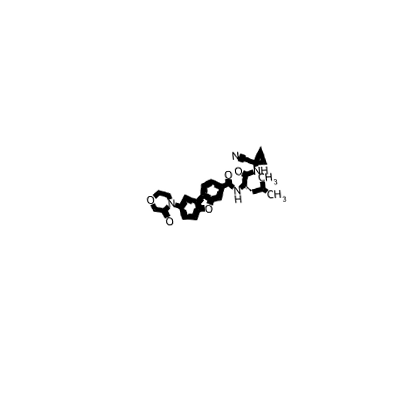 CC(C)C[C@H](NC(=O)c1ccc2c(c1)oc1ccc(N3CCOCC3=O)cc12)C(=O)NC1(C#N)CC1